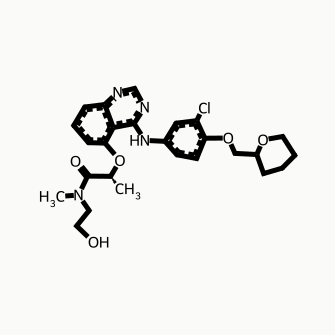 C[C@@H](Oc1cccc2ncnc(Nc3ccc(OCC4CCCCO4)c(Cl)c3)c12)C(=O)N(C)CCO